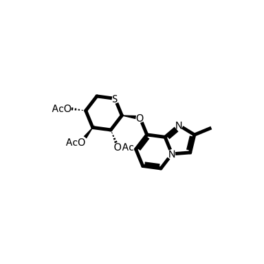 CC(=O)O[C@@H]1[C@@H](OC(C)=O)[C@H](OC(C)=O)CS[C@H]1Oc1cccn2cc(C)nc12